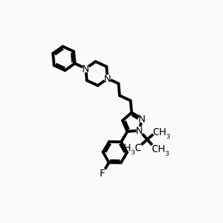 CC(C)(C)n1nc(CCCN2CCN(c3ccccc3)CC2)cc1-c1ccc(F)cc1